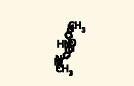 CN1Cc2ccc(C(=O)Nc3cc4cc(-c5cn(C)nn5)ccc4cn3)cc2C1